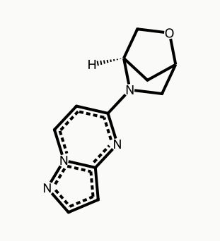 c1cc2nc(N3CC4C[C@@H]3CO4)ccn2n1